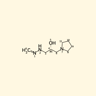 C=NNC[C@H](O)CN1CCCC1